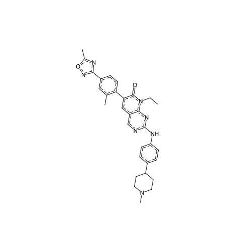 CCn1c(=O)c(-c2ccc(-c3noc(C)n3)cc2C)cc2cnc(Nc3ccc(C4CCN(C)CC4)cc3)nc21